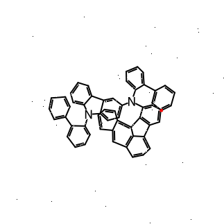 c1ccc(-c2ccccc2N(c2ccc3c(c2)c2ccccc2n3-c2ccccc2-c2ccccc2)c2cccc3c2-c2c4ccccc4cc4cccc-3c24)cc1